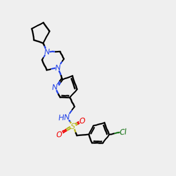 O=S(=O)(Cc1ccc(Cl)cc1)NCc1ccc(N2CCN(C3CCCC3)CC2)nc1